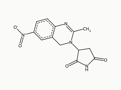 CC1=Nc2ccc([N+](=O)[O-])cc2CN1C1CC(=O)NC1=O